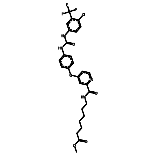 COC(=O)CCCCCCNC(=O)c1cc(Oc2ccc(NC(=O)Nc3ccc(Cl)c(C(F)(F)F)c3)cc2)ccn1